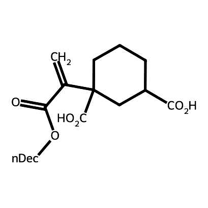 C=C(C(=O)OCCCCCCCCCC)C1(C(=O)O)CCCC(C(=O)O)C1